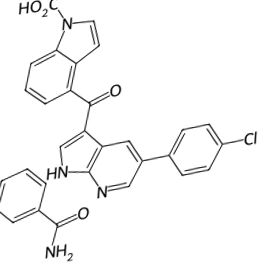 NC(=O)c1ccccc1.O=C(c1c[nH]c2ncc(-c3ccc(Cl)cc3)cc12)c1cccc2c1ccn2C(=O)O